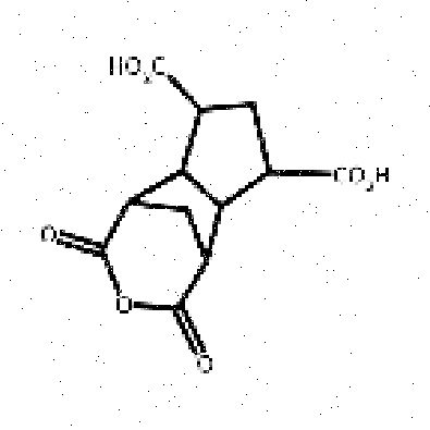 O=C(O)C1CC(C(=O)O)C2C3CC(C(=O)OC3=O)C12